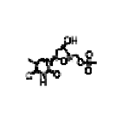 Cc1cn([C@H]2C[C@@H](O)[C@@H](COS(C)(=O)=O)O2)c(=O)[nH]c1=O